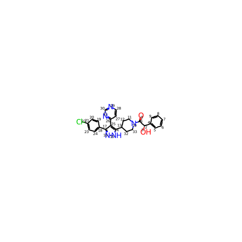 O=C([C@H](O)c1ccccc1)N1CCC(c2[nH]nc(-c3ccc(Cl)cc3)c2-c2ccncn2)CC1